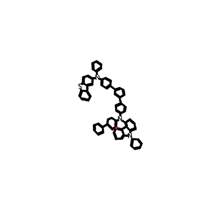 C1=C(c2ccccc2)CCC(N(c2ccc(-c3cccc(-c4ccc(N(c5ccccc5)c5ccc6sc7ccccc7c6c5)cc4)c3)cc2)c2cccc3c2c2ccccc2n3-c2ccccc2)=C1